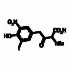 CCCCC(C(=O)O)C(=O)Cc1cc(I)c(O)c([N+](=O)[O-])c1